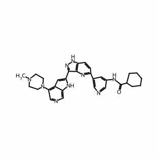 CN1CCN(c2cncc3[nH]c(-c4n[nH]c5ccc(-c6cncc(NC(=O)C7CCCCC7)c6)nc45)cc23)CC1